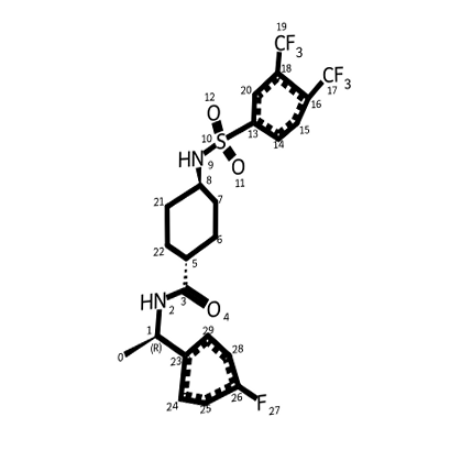 C[C@@H](NC(=O)[C@H]1CC[C@H](NS(=O)(=O)c2ccc(C(F)(F)F)c(C(F)(F)F)c2)CC1)c1ccc(F)cc1